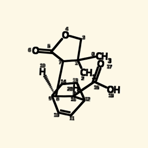 CC1(C)COC(=O)C1[C@@H]1C2C=CC(CC2)[C@@H]1C(=O)O